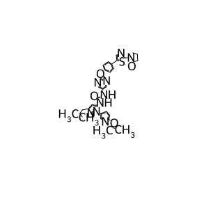 CC(C)Cc1cc(NC(=O)Nc2cnc(Oc3ccc(-c4cnc(N5CCCC5=O)s4)cc3)nc2)n(-c2ccc(OC(C)C)nc2)n1